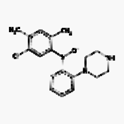 Cc1cc(C)c([S+]([O-])c2ccccc2N2CCNCC2)cc1Cl